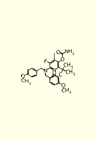 COc1ccc(CN(Cc2ccc(OC)cc2)c2nc(C(C)(C)C)c(OC(N)=O)c(I)c2F)cc1